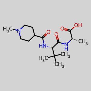 C[C@H](NC(=O)[C@@H](NC(=O)C1CCN(C)CC1)C(C)(C)C)C(=O)O